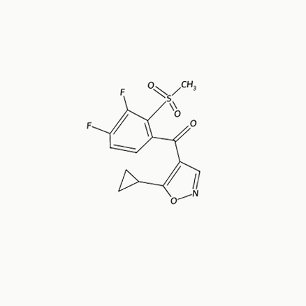 CS(=O)(=O)c1c(C(=O)c2cnoc2C2CC2)ccc(F)c1F